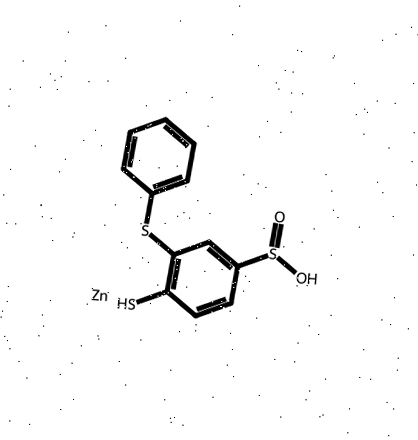 O=S(O)c1ccc(S)c(Sc2ccccc2)c1.[Zn]